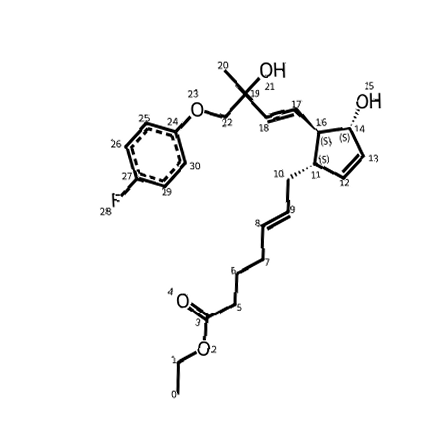 CCOC(=O)CCCC=CC[C@H]1C=C[C@@H](O)[C@@H]1C=CC(C)(O)COc1ccc(F)cc1